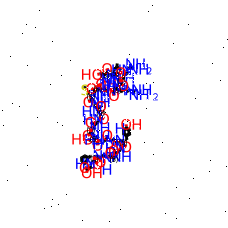 CSCC[C@H](NC(=O)[C@H](CO)NC(=O)CNC(=O)[C@H](CCCNC(=N)N)NC(=O)[C@H](CCCNC(=N)N)NC(=O)[C@H](CC(C)C)NC(=O)[C@@H](N)CO)C(=O)NCC(=O)N[C@@H](C)C(=O)NCC(=O)N[C@@H](C)C(=O)N[C@@H](CO)C(=O)NCC(=O)NCC(=O)N[C@@H](Cc1ccc(O)cc1)C(=O)NCC(=O)N[C@@H](C)C(=O)NCC(=O)N[C@@H](Cc1ccccc1)C(=O)NCC(=O)O